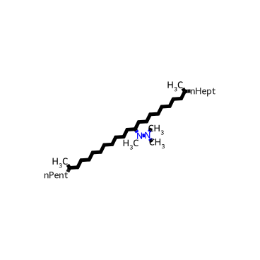 CCCCCCCC(C)CCCCCCCCC(CCCCCCCCCCC(C)CCCCC)N(C)N(C)C